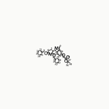 Cn1nc(-c2ccc(OCc3ccccc3)nc2OCc2ccccc2)c2ccc(OCC(=O)OC(C)(C)C)cc21